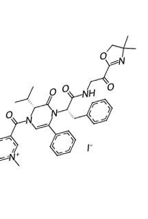 CC(C)[C@@H]1C(=O)N([C@@H](Cc2ccccc2)C(=O)NCC(=O)C2=NC(C)(C)CO2)C(c2ccccc2)=CN1C(=O)c1ccc[n+](C)c1.[I-]